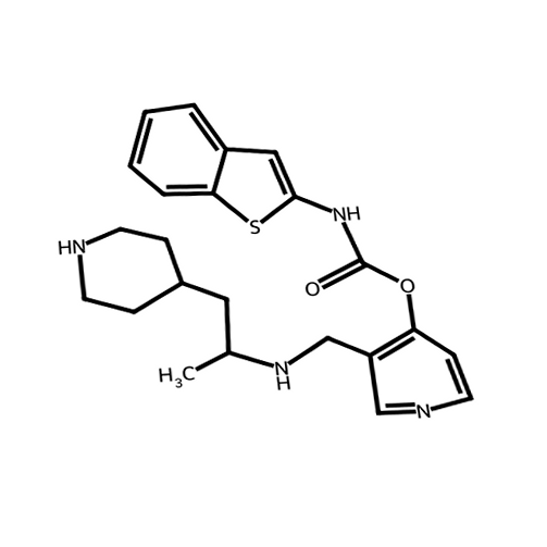 CC(CC1CCNCC1)NCc1cnccc1OC(=O)Nc1cc2ccccc2s1